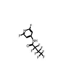 O=C(Nc1cc(F)nc(F)c1)C(F)(F)C(F)(F)C(F)(F)F